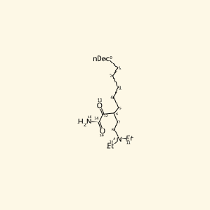 CCCCCCCCCCCCCCCC(CCN(CC)CC)C(=O)C(N)=O